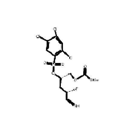 COC(=O)OC[C@H](C[C@H](F)C=N)OS(=O)(=O)c1cc(Cl)c(Cl)cc1Cl